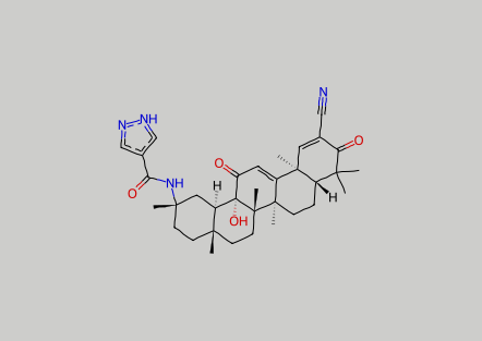 CC1(C)C(=O)C(C#N)=C[C@]2(C)C3=CC(=O)[C@]4(O)[C@@H]5C[C@@](C)(NC(=O)c6cn[nH]c6)CC[C@@]5(C)CC[C@@]4(C)[C@]3(C)CC[C@@H]12